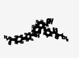 C=CC(=O)Nc1cccc(-c2c(CO)ccc3cnc(Nc4ccc(N5CCN(C(C)=O)CC5)cc4)nc23)c1